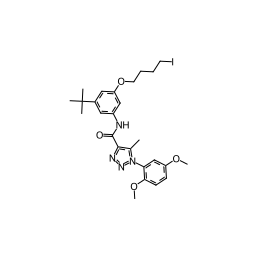 COc1ccc(OC)c(-n2nnc(C(=O)Nc3cc(OCCCCI)cc(C(C)(C)C)c3)c2C)c1